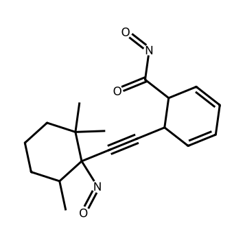 CC1CCCC(C)(C)C1(C#CC1C=CC=CC1C(=O)N=O)N=O